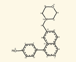 Oc1ccc(-c2cncc3ccc(CN4CCOCC4)cc23)cc1